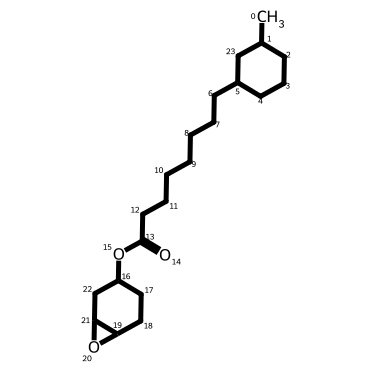 CC1CCCC(CCCCCCCC(=O)OC2CCC3OC3C2)C1